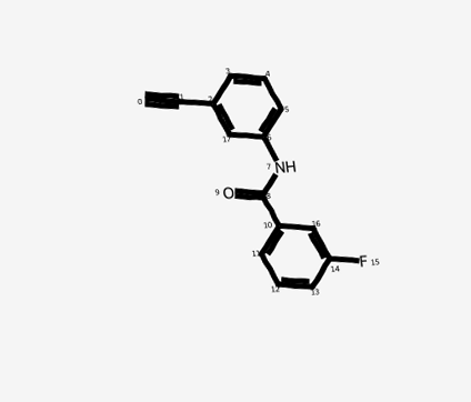 C#Cc1cccc(NC(=O)c2cccc(F)c2)c1